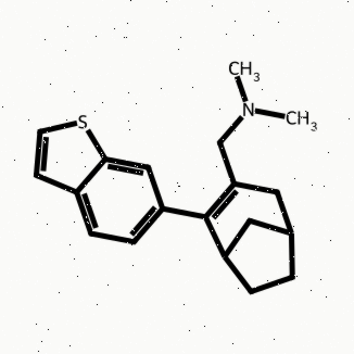 CN(C)CC1=C(c2ccc3ccsc3c2)C2CCC(C1)C2